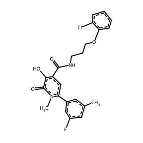 Cc1cc(F)cc(-c2cc(C(=O)NCCCOc3ccccc3Cl)c(O)c(=O)n2C)c1